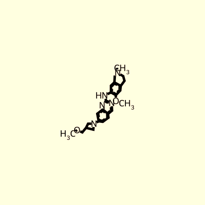 COCC1CN(c2ccc3cnc(Nc4cc5c(cc4OC)CCN(C)C5)nc3c2)C1